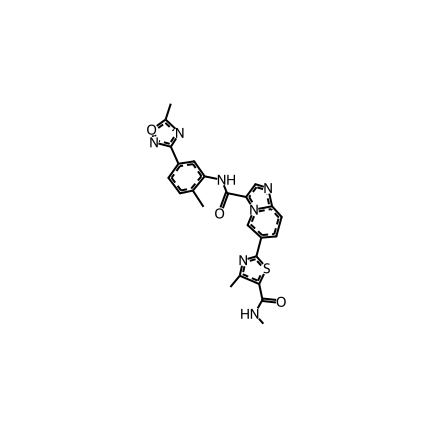 CNC(=O)c1sc(-c2ccc3ncc(C(=O)Nc4cc(-c5noc(C)n5)ccc4C)n3c2)nc1C